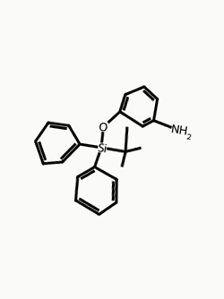 CC(C)(C)[Si](Oc1cccc(N)c1)(c1ccccc1)c1ccccc1